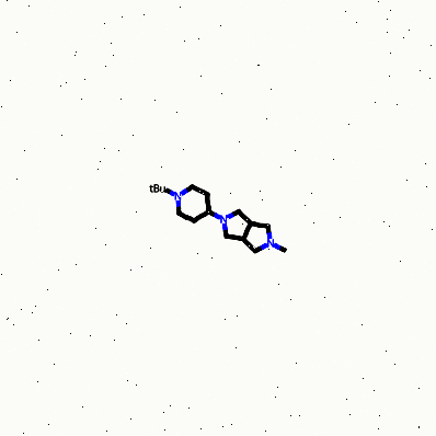 CN1CC2CN(C3CCN(C(C)(C)C)CC3)CC2C1